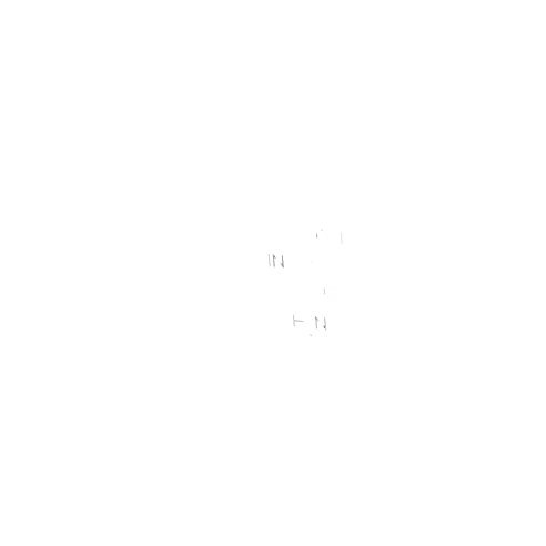 CC(C)N.CC(C)NC(=O)O